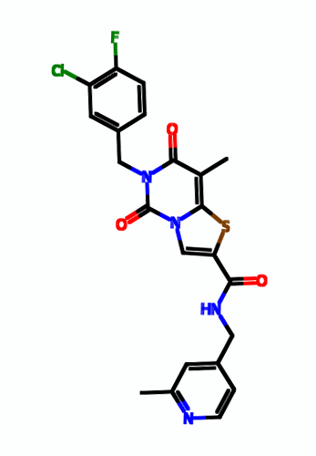 Cc1cc(CNC(=O)c2cn3c(=O)n(Cc4ccc(F)c(Cl)c4)c(=O)c(C)c3s2)ccn1